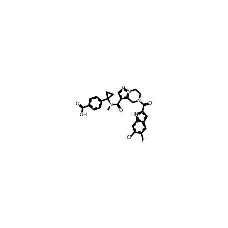 CN(C(=O)c1cnn2c1CN(C(=O)c1cc3cc(F)c(Cl)cc3[nH]1)CC2)C1(c2ccc(C(=O)O)cc2)CC1